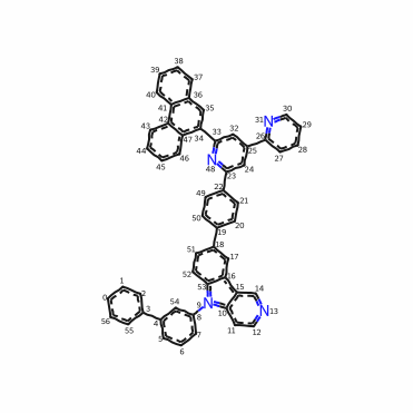 c1ccc(-c2cccc(-n3c4ccncc4c4cc(-c5ccc(-c6cc(-c7ccccn7)cc(-c7cc8ccccc8c8ccccc78)n6)cc5)ccc43)c2)cc1